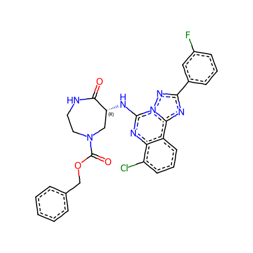 O=C1NCCN(C(=O)OCc2ccccc2)C[C@H]1Nc1nc2c(Cl)cccc2c2nc(-c3cccc(F)c3)nn12